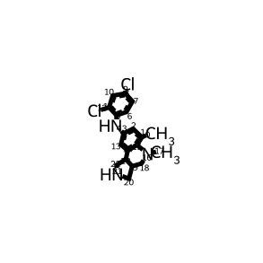 Cc1cc(Nc2ccc(Cl)cc2Cl)cc2c1N(C)CC1CNCC21